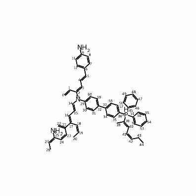 C=C/C(=C\C=C\c1ccc(N)cc1)N(/C=C/C=C(\C=C/C)C(=C)/C=C\C(N)=C/C)c1ccc(-c2ccc([PH](/C(C)=C/C=C\CC)(c3ccccc3)c3ccccc3)cc2)cc1